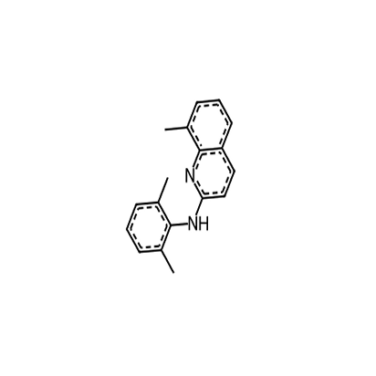 Cc1cccc(C)c1Nc1ccc2cccc(C)c2n1